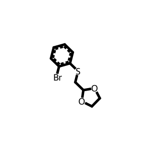 Brc1ccccc1SCC1OCCO1